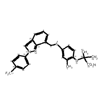 Cc1cc(SCc2cccc3cn(-c4ccc(C(F)(F)F)cc4)nc23)ccc1OC(C)(C)C(=O)O